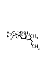 CCC[C@H](C)C[C@H](CN)CC(=O)OC(C)(C)C